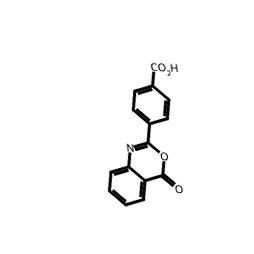 O=C(O)c1ccc(-c2nc3ccccc3c(=O)o2)cc1